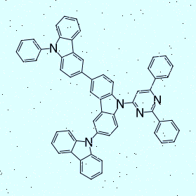 c1ccc(-c2cc(-n3c4ccc(-c5ccc6c(c5)c5ccccc5n6-c5ccccc5)cc4c4cc(-n5c6ccccc6c6ccccc65)ccc43)nc(-c3ccccc3)n2)cc1